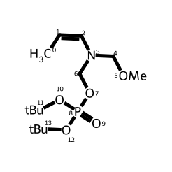 C/C=C\N(COC)COP(=O)(OC(C)(C)C)OC(C)(C)C